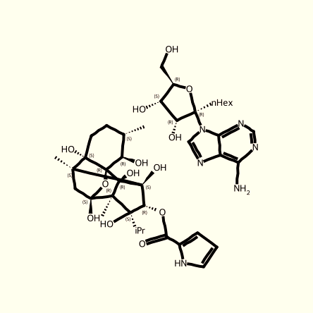 CC(C)[C@@]1(O)[C@@H](OC(=O)c2ccc[nH]2)[C@@]2(O)[C@@]3(C)C[C@]4(O)O[C@@]5([C@H](O)[C@@H](C)CC[C@]35O)[C@@]2(O)[C@@]14C.CCCCCC[C@@]1(n2cnc3c(N)ncnc32)O[C@H](CO)[C@@H](O)[C@H]1O